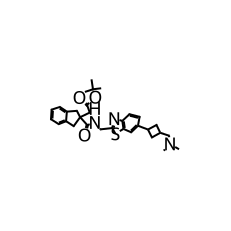 CN(C)CC1CC(c2ccc3nc(CNC(=O)C4(CC(=O)OC(C)(C)C)Cc5ccccc5C4)sc3c2)C1